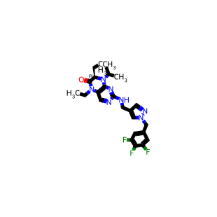 CC[C@@H]1C(=O)N(CC)c2cnc(NCc3cnn(Cc4cc(F)c(F)c(F)c4)c3)nc2N1C(C)C